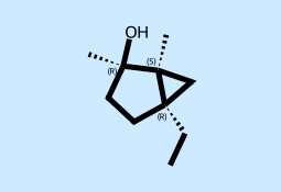 CC[C@]12CC[C@@](C)(O)[C@@]1(C)C2